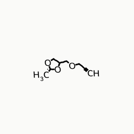 C#CCOCC1CO[C](C)O1